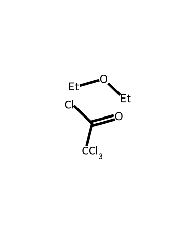 CCOCC.O=C(Cl)C(Cl)(Cl)Cl